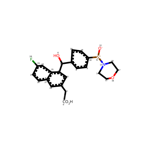 O=C(O)Cc1cc(C(O)c2ccc([S+]([O-])N3CCOCC3)cc2)c2cc(F)ccc2c1